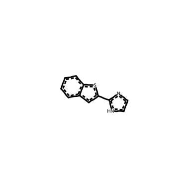 c1ccc2sc(-c3ncc[nH]3)cc2c1